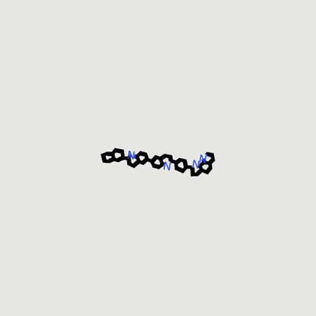 c1ccc2cc(-c3ccc4cc(-c5ccc6nc(-c7ccc(-c8ccc9ccc%10cccnc%10c9n8)cc7)ccc6c5)ccc4n3)ccc2c1